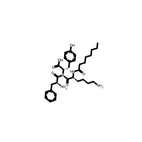 CCCCCCCC(=O)N[C@@H](CCCCN)C(=O)N(C(=O)[C@@H](N)Cc1ccccc1)[C@@H](Cc1ccc(O)cc1)C(=O)O